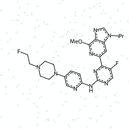 COc1nc(-c2nc(Nc3ccc(N4CCN(CCF)CC4)cn3)ncc2F)cc2c1ncn2C(C)C